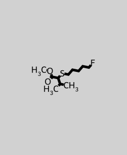 COC(=O)C(SCCCCCF)C(C)C